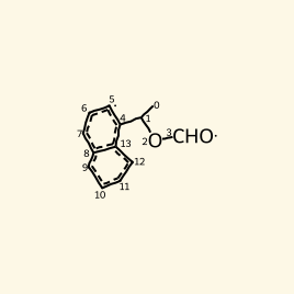 CC(O[C]=O)c1[c]ccc2ccccc12